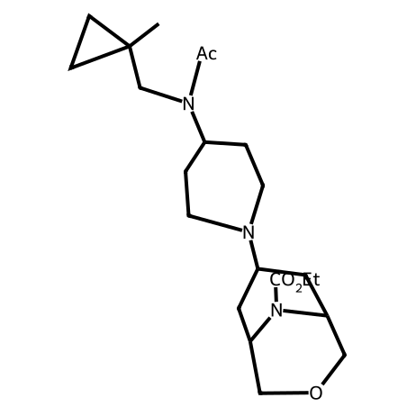 CCOC(=O)N1C2COCC1CC(N1CCC(N(CC3(C)CC3)C(C)=O)CC1)C2